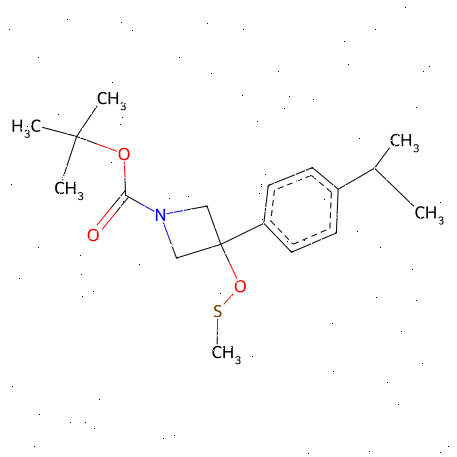 CSOC1(c2ccc(C(C)C)cc2)CN(C(=O)OC(C)(C)C)C1